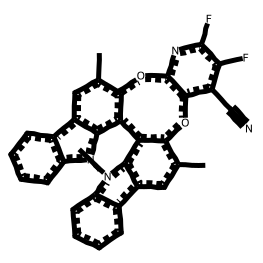 Cc1cc2c3ccccc3n(C)c2c2c1oc1nc(F)c(F)c(C#N)c1oc1c(C)cc3c4ccccc4n(C)c3c12